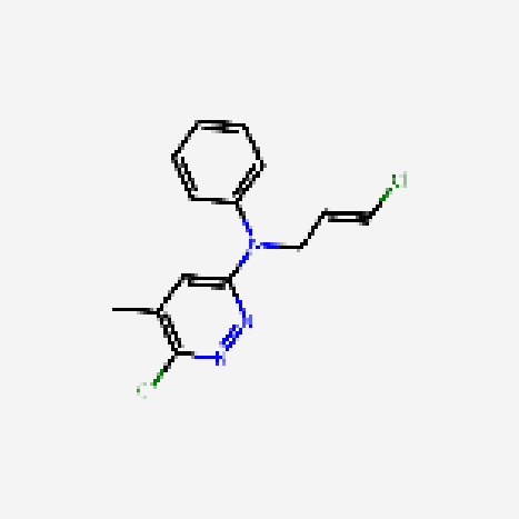 Cc1cc(N(CC=CCl)c2ccccc2)nnc1Cl